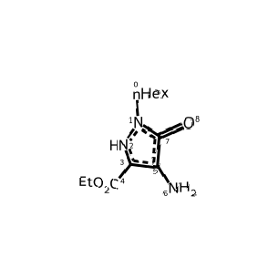 CCCCCCn1[nH]c(C(=O)OCC)c(N)c1=O